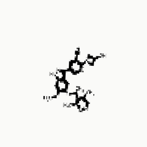 COc1cc2[nH]nc(-c3cnc(N4CC(O)C4)c(C#N)c3)c2cc1O[C@H](C)c1c(C)cnnc1C